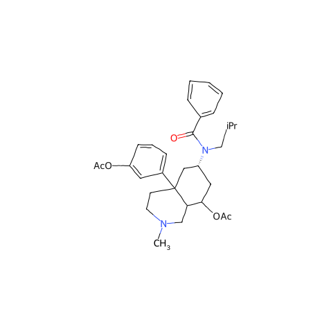 CC(=O)Oc1cccc(C23CCN(C)CC2C(OC(C)=O)C[C@@H](N(CC(C)C)C(=O)c2ccccc2)C3)c1